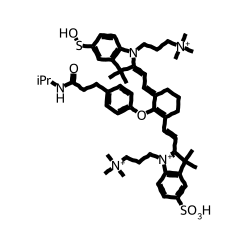 CC(C)NC(=O)CCc1ccc(OC2=C(/C=C/C3=[N+](CCC[N+](C)(C)C)c4ccc(S(=O)(=O)O)cc4C3(C)C)CCC/C2=C\C=C2\N(CCC[N+](C)(C)C)c3ccc(SO)cc3C2(C)C)cc1